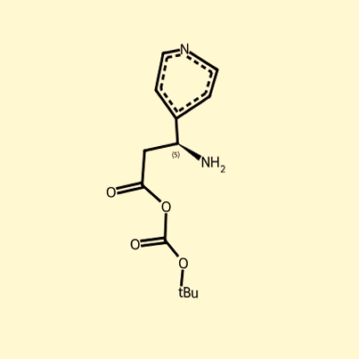 CC(C)(C)OC(=O)OC(=O)C[C@H](N)c1ccncc1